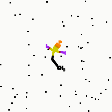 CCS(#P)(I)I